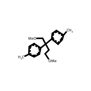 COCCC(COC)(c1ccc(C)cc1)c1ccc(C)cc1